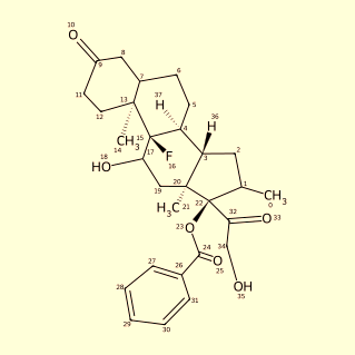 CC1C[C@H]2[C@@H]3CCC4CC(=O)CC[C@]4(C)[C@@]3(F)C(O)C[C@]2(C)[C@@]1(OC(=O)c1ccccc1)C(=O)CO